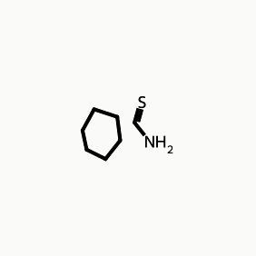 C1CCCCC1.NC=S